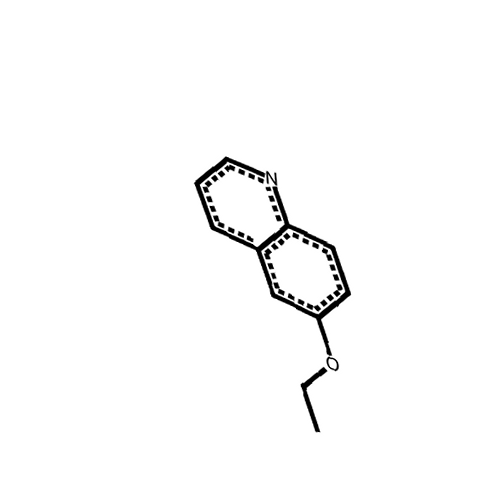 CCOc1ccc2ncccc2c1